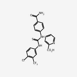 NC(=O)c1ccc(NC(=S)Nc2ccc(Cl)c(C(F)(F)F)c2)cc1.O=C(O)c1ccccn1